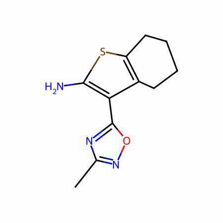 Cc1noc(-c2c(N)sc3c2CCCC3)n1